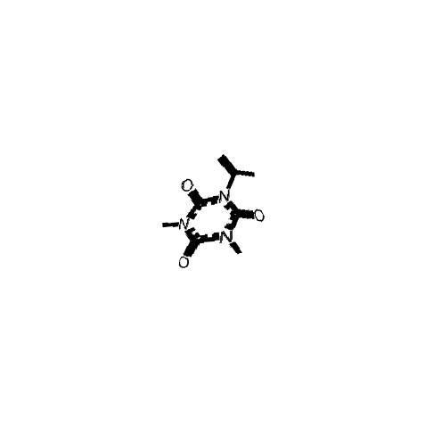 C=C(C)n1c(=O)n(C)c(=O)n(C)c1=O